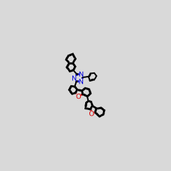 C1=CC(c2nc(-c3ccc4ccccc4c3)nc(-c3cccc4oc5c(-c6ccc7oc8ccccc8c7c6)cccc5c34)n2)=CCC1